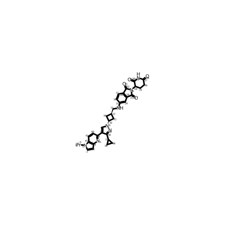 CC(C)n1ccc2nc(-c3cn([C@H]4C[C@H](CNc5ccc6c(c5)C(=O)N(C5CCC(=O)NC5=O)C6=O)C4)nc3C3CC3)ccc21